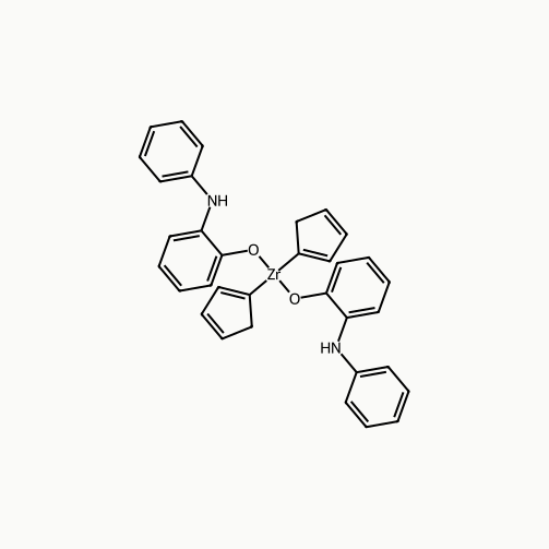 C1=CC[C]([Zr]([O]c2ccccc2Nc2ccccc2)([O]c2ccccc2Nc2ccccc2)[C]2=CC=CC2)=C1